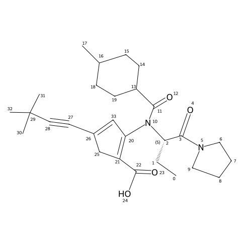 CC[C@@H](C(=O)N1CCCC1)N(C(=O)C1CCC(C)CC1)C1=C(C(=O)O)CC(C#CC(C)(C)C)=C1